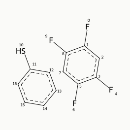 Fc1cc(F)c(F)cc1F.Sc1ccccc1